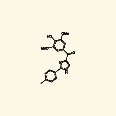 COc1cc(C(=O)c2c[nH]c(-c3ccc(C)cc3)n2)cc(OC)c1O